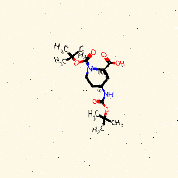 CC(C)(C)OC(=O)N[C@H]1CCN(C(=O)OC(C)(C)C)[C@@H](C(=O)O)C1